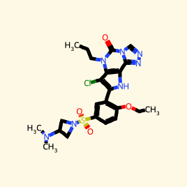 CCCn1c(=O)n2cnnc2c2[nH]c(-c3cc(S(=O)(=O)N4CC(N(C)C)C4)ccc3OCC)c(Cl)c21